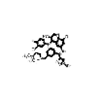 CC(C)n1cc([C@@H](Nc2cc(Cl)c3ncc(C#N)c(Nc4ccc(F)c(Cl)c4)c3c2)c2cccc(CN(C)CCN(C)C)c2)nn1